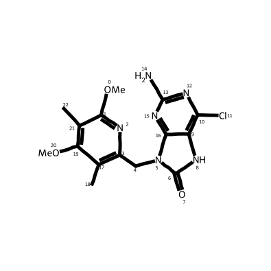 COc1nc(Cn2c(=O)[nH]c3c(Cl)nc(N)nc32)c(C)c(OC)c1C